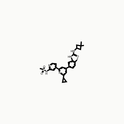 CC1(C)CC(NC(=O)Nc2cc(-c3cc(-c4ccnc(NS(C)(=O)=O)c4)nc(C4CC4)c3)ccc2F)C1